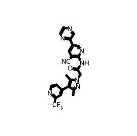 Cc1nn(CC(=O)Nc2ncc(-c3cnccn3)cc2C#N)c(C)c1-c1ccnc(C(F)(F)F)c1